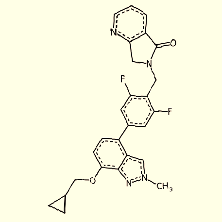 Cn1cc2c(-c3cc(F)c(CN4Cc5ncccc5C4=O)c(F)c3)ccc(OCC3CC3)c2n1